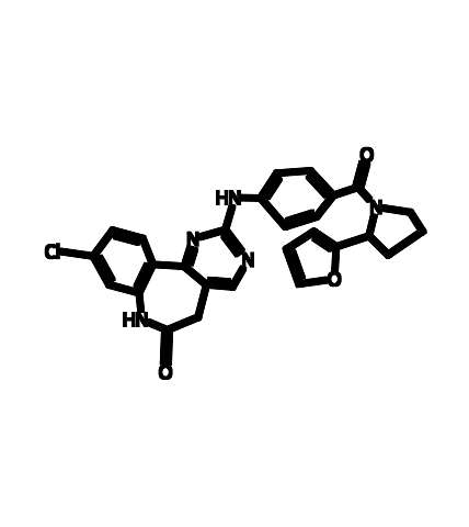 O=C1Cc2cnc(Nc3ccc(C(=O)N4CCCC4c4ccco4)cc3)nc2-c2ccc(Cl)cc2N1